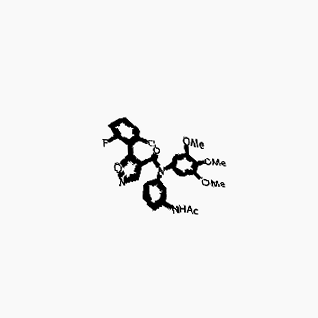 COc1cc(N(C(=O)c2cnoc2-c2c(F)cccc2Cl)c2cccc(NC(C)=O)c2)cc(OC)c1OC